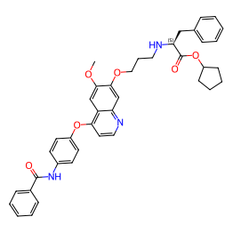 COc1cc2c(Oc3ccc(NC(=O)c4ccccc4)cc3)ccnc2cc1OCCCN[C@@H](Cc1ccccc1)C(=O)OC1CCCC1